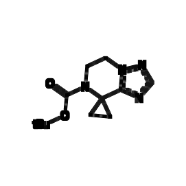 CC(C)(C)OC(=O)N1CCn2ncnc2C12CC2